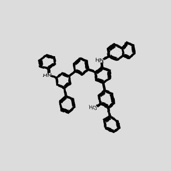 Oc1cc(-c2ccc(Nc3ccc4ccccc4c3)c(-c3cccc(C4=CC(Nc5ccccc5)CC(c5ccccc5)=C4)c3)c2)ccc1-c1ccccc1